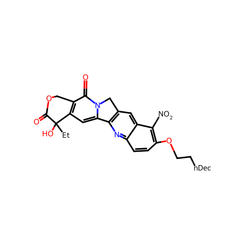 CCCCCCCCCCCCOc1ccc2nc3c(cc2c1[N+](=O)[O-])Cn1c-3cc2c(c1=O)COC(=O)C2(O)CC